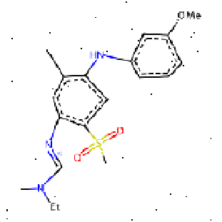 CCN(C)/C=N/c1cc(C)c(Nc2cccc(OC)c2)cc1S(C)(=O)=O